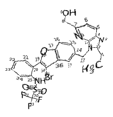 CCc1nc2ccc(CO)nc2n1Cc1ccc2oc(-c3ccccc3NS(=O)(=O)C(F)(F)F)c(Br)c2c1